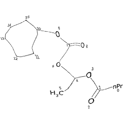 CCCC(=O)OC(C)OC(=O)OC1CCCCC1